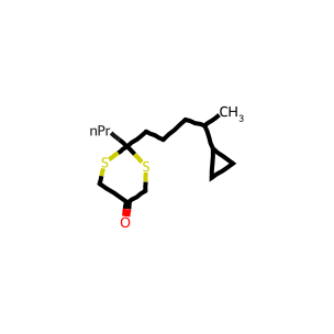 CCCC1(CCCC(C)C2CC2)SCC(=O)CS1